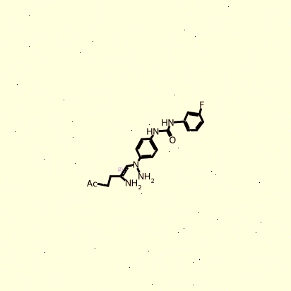 CC(=O)CC/C(N)=C/N(N)c1ccc(NC(=O)Nc2cccc(F)c2)cc1